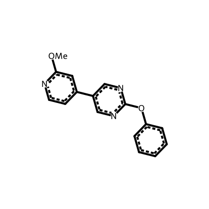 COc1cc(-c2cnc(Oc3ccccc3)nc2)ccn1